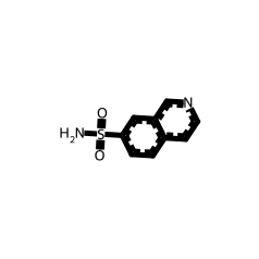 NS(=O)(=O)c1ccc2ccncc2c1